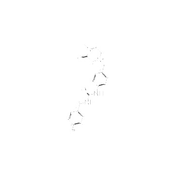 CN1CCN(Cc2ccc(NC(=O)NCc3ccc(Cl)cc3)cc2)CC1=O